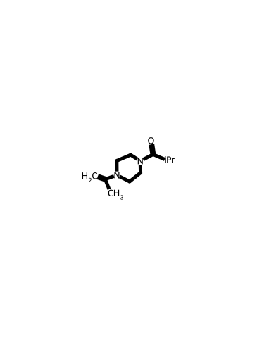 C=C(C)N1CCN(C(=O)C(C)C)CC1